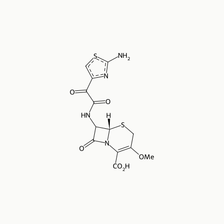 COC1=C(C(=O)O)N2C(=O)C(NC(=O)C(=O)c3csc(N)n3)[C@@H]2SC1